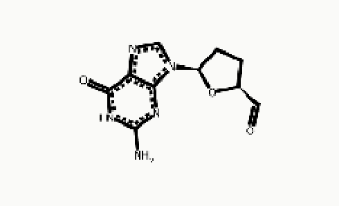 Nc1nc2c(ncn2[C@H]2CC[C@@H](C=O)O2)c(=O)[nH]1